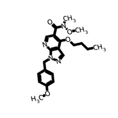 CCCCOc1c(C(=O)N(C)OC)cnc2c1cnn2Cc1ccc(OC)cc1